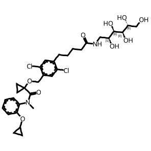 CN(C(=O)C1(OCc2cc(Cl)c(CCCCC(=O)NC[C@H](O)[C@@H](O)[C@H](O)[C@H](O)CO)cc2Cl)CC1)c1ccccc1OC1CC1